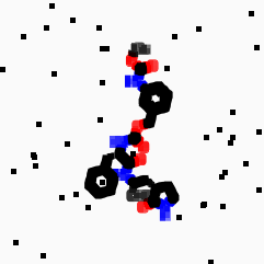 CC(C)(C)OC(=O)Nc1cccc(COC(=O)N[C@@H](CC2CCCCC2)C(=O)N[C@H](C=O)C[C@@H]2CCNC2=O)c1